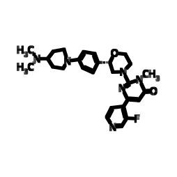 CN(C)C1CCN(c2ccc([C@H]3CN(c4nc(-c5ccncc5F)cc(=O)n4C)CCO3)cc2)CC1